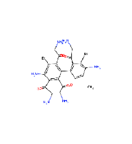 C.CCc1c(N)ccc(-c2c(C(=O)CN)c(CC)c(N)c(C(=O)CN)c2C(=O)CN)c1C(=O)CN